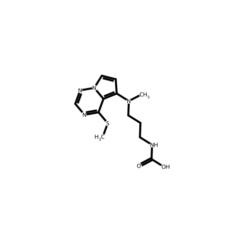 CSc1ncnn2ccc(N(C)CCCNC(=O)O)c12